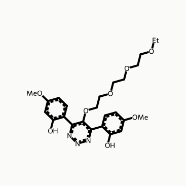 CCOCCOCCOCCOc1c(-c2ccc(OC)cc2O)nnnc1-c1ccc(OC)cc1O